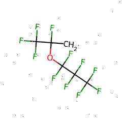 [CH2]C(F)(OC(F)(F)C(F)(F)C(F)(F)F)C(F)(F)F